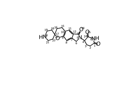 O=C1CCC(N2Cc3cc4c(cc3C2=O)CCC2(CCNCC2)O4)C(=O)N1